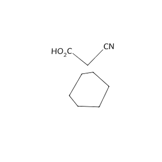 C1CCCCC1.N#CCC(=O)O